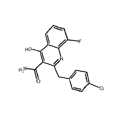 NC(=O)c1c(Cc2ccc(Cl)cc2)nc2c(F)cccc2c1O